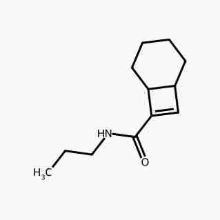 CCCNC(=O)C1=CC2CCCCC12